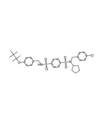 CC(C)(C)[Si](C)(C)Oc1ccc(CNS(=O)(=O)c2ccc(S(=O)(=O)N(Cc3ccc(Cl)cc3)C3CCCC3)cc2)cc1